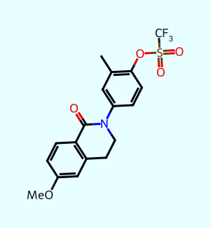 COc1ccc2c(c1)CCN(c1ccc(OS(=O)(=O)C(F)(F)F)c(C)c1)C2=O